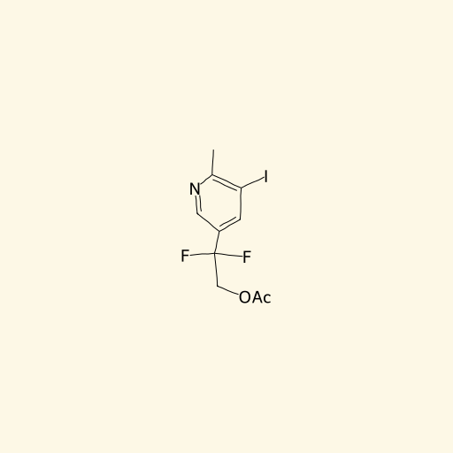 CC(=O)OCC(F)(F)c1cnc(C)c(I)c1